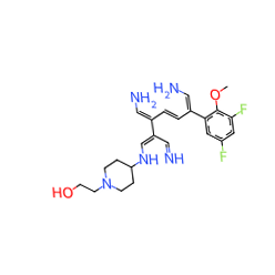 COc1c(F)cc(F)cc1C(/C=C/C(=C\N)C(/C=N)=C/NC1CCN(CCO)CC1)=C/N